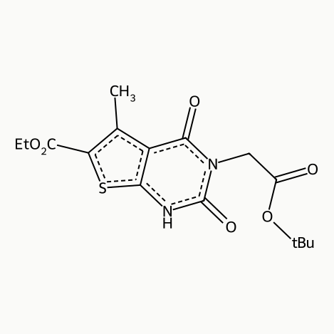 CCOC(=O)c1sc2[nH]c(=O)n(CC(=O)OC(C)(C)C)c(=O)c2c1C